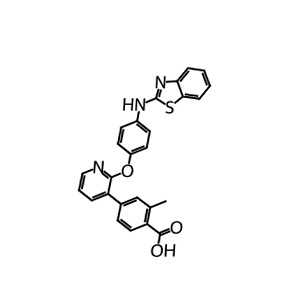 Cc1cc(-c2cccnc2Oc2ccc(Nc3nc4ccccc4s3)cc2)ccc1C(=O)O